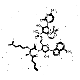 C=CCCC(=O)N(C)[C@@H](CCCCC(F)F)C(=O)O[C@H]1[C@@H](O)[C@H](n2cnc3c(N)ncnc32)O[C@@H]1COP(=O)(O)[C@H]1[C@@H](O)[C@H](n2ccc(N)nc2=O)O[C@@H]1CCOP(=O)(O)O